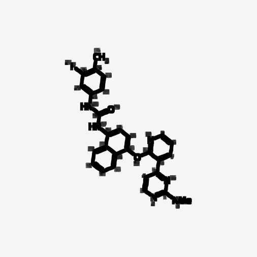 CNc1nccc(-c2cccnc2Oc2ccc(NC(=O)Nc3ccc(C)c(F)c3)c3ccccc23)n1